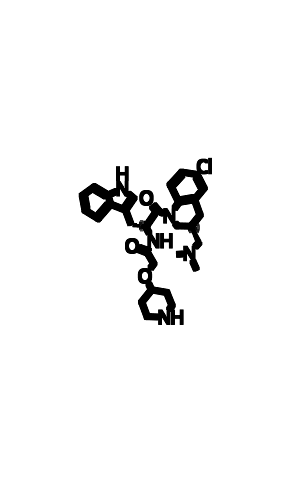 CN(C)C[C@@H]1Cc2cc(Cl)ccc2N(C(=O)[C@@H](Cc2c[nH]c3ccccc23)NC(=O)COC2CCNCC2)C1